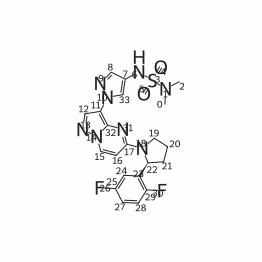 CN(C)S(=O)(=O)Nc1cnn(-c2cnn3ccc(N4CCC[C@H]4c4cc(F)ccc4F)nc23)c1